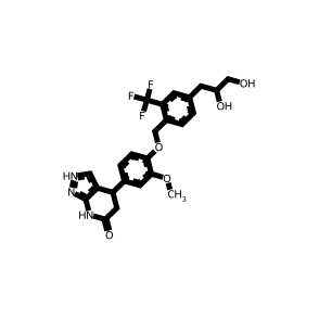 COc1cc(C2CC(=O)Nc3n[nH]cc32)ccc1OCc1ccc(CC(O)CO)cc1C(F)(F)F